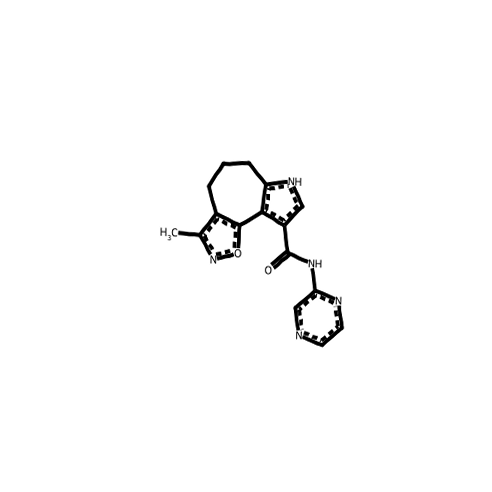 Cc1noc2c1CCCc1[nH]cc(C(=O)Nc3cnccn3)c1-2